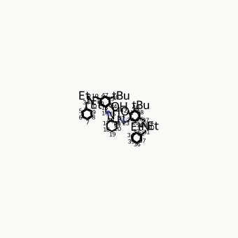 CC[N+](CC)(Cc1ccccc1)Cc1cc(/C=N/[C@@H]2CCCC[C@H]2/N=C/c2cc(C[N+](CC)(CC)Cc3ccccc3)cc(C(C)(C)C)c2O)c(O)c(C(C)(C)C)c1